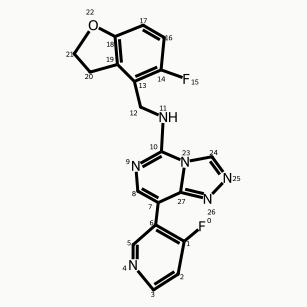 Fc1ccncc1-c1cnc(NCc2c(F)ccc3c2CCO3)n2cnnc12